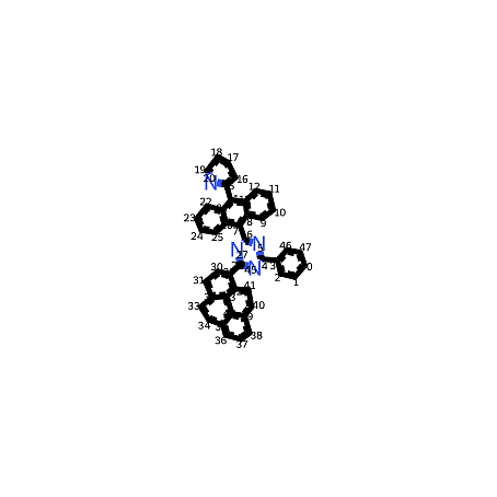 c1ccc(-c2nc(-c3c4ccccc4c(-c4ccccn4)c4ccccc34)nc(-c3ccc4ccc5cccc6ccc3c4c56)n2)cc1